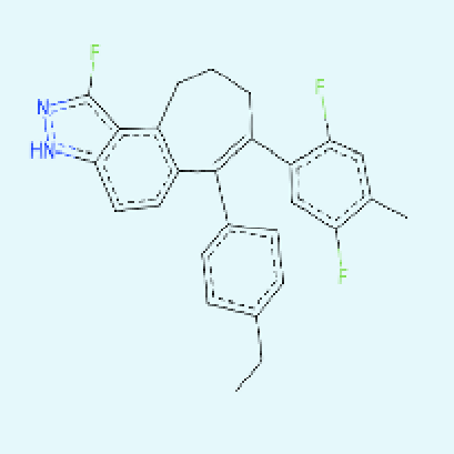 CCc1ccc(C2=C(c3cc(F)c(C)cc3F)CCCc3c2ccc2[nH]nc(F)c32)cc1